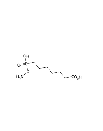 NOP(=O)(O)CCCCCCC(=O)O